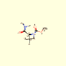 CN(C)C(=O)[C@H]1N(C(=O)OC(C)(C)C)CC1(C)C